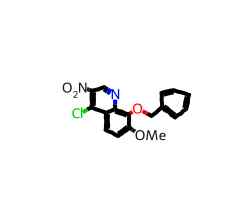 COc1ccc2c(Cl)c([N+](=O)[O-])cnc2c1OCc1ccccc1